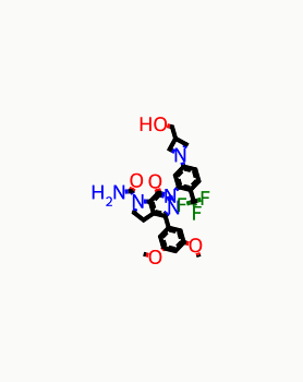 COc1cc(OC)cc(-c2nn(-c3cc(N4CC(CO)C4)ccc3C(F)(F)F)c(=O)c3c2CCN3C(N)=O)c1